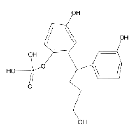 O=P(O)(O)Oc1ccc(O)cc1C(CCCO)c1cccc(O)c1